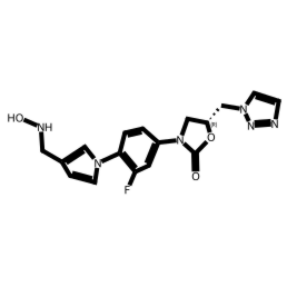 O=C1O[C@@H](Cn2ccnn2)CN1c1ccc(-n2ccc(CNO)c2)c(F)c1